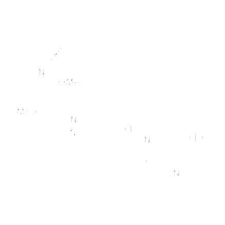 COc1cc(-n2ncc3c(-c4cccc(-c5nc6cc(C=O)cc(C#N)c6o5)c4C)cccc32)cc(OC)c1CN1CC[C@@H](O)C1